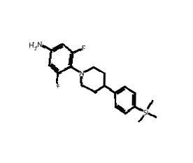 C[Si](C)(C)c1ccc(C2CCN(c3c(F)cc(N)cc3F)CC2)cc1